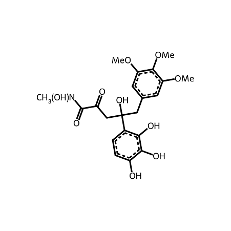 COc1cc(CC(O)(CC(=O)C(=O)N(C)O)c2ccc(O)c(O)c2O)cc(OC)c1OC